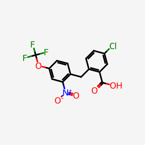 O=C(O)c1cc(Cl)ccc1Cc1ccc(OC(F)(F)F)cc1[N+](=O)[O-]